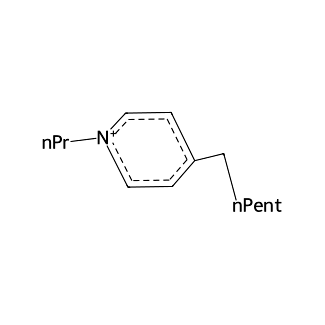 CCCCCCc1cc[n+](CCC)cc1